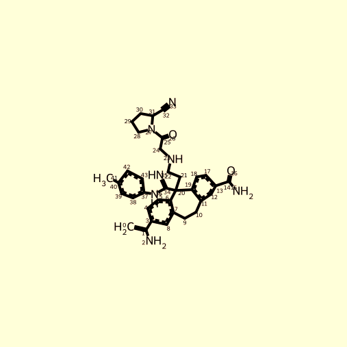 C=C(N)c1ccc2c(c1)CCc1cc(C(N)=O)ccc1C2(CCNCC(=O)N1CCCC1C#N)C(=N)Nc1ccc(C)cc1